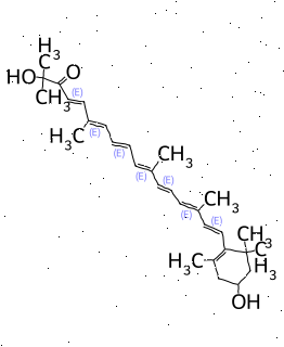 CC1=C(/C=C/C(C)=C/C=C/C(C)=C/C=C/C=C(C)/C=C/C(=O)C(C)(C)O)C(C)(C)CC(O)C1